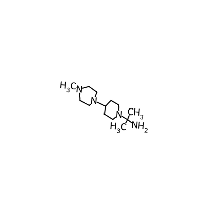 CN1CCN(C2CCN(C(C)(C)N)CC2)CC1